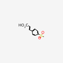 CS(=O)(=O)c1ccc(C=CC(=O)O)cc1